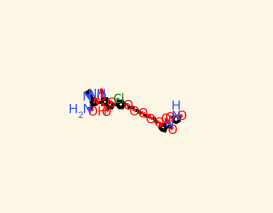 CCOc1cc2oc(-c3ccc(OCCOCCOCCOCCOc4cccc5c4C(=O)N(C4CCC(=O)NC4=O)C5=O)cc3Cl)cc(=O)c2cc1-c1cc(-c2ncc[nH]2)cc(C(N)O)c1